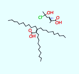 C/C(=C\CC(C)(O)Cl)C(=O)O.CCCCCCCCCCC(CCCCCCCCCC)=C(CCCCCCCCCC)C(=O)O